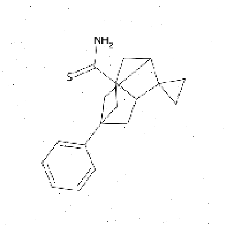 NC(=S)C12CC3CC(c4ccccc4)(CC1C31CC1)C2